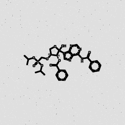 CC(C)OP(=O)(CO[C@H]1COC(O)(n2cnc3c(NC(=O)c4ccccc4)ncnc32)[C@@H]1OC(=O)c1ccccc1)OC(C)C